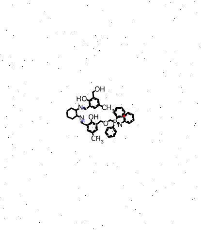 Cc1cc(/C=N/C2CCCCC2/N=C/c2cc(C)cc(COCP(=Nc3ccccc3)(c3ccccc3)c3ccccc3)c2O)c(O)c(CO)c1